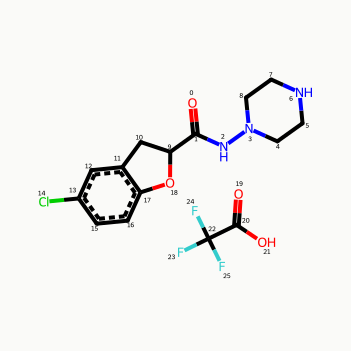 O=C(NN1CCNCC1)C1Cc2cc(Cl)ccc2O1.O=C(O)C(F)(F)F